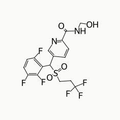 O=C(NCO)c1ccc(C(c2c(F)ccc(F)c2F)S(=O)(=O)CCC(F)(F)F)cn1